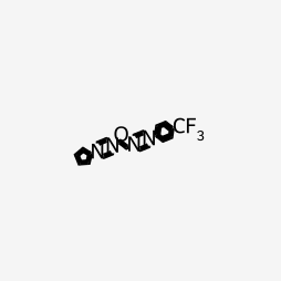 O=C(CN1CCN(c2ccc(C(F)(F)F)cc2)CC1)N1CCN(C2CCCC2)CC1